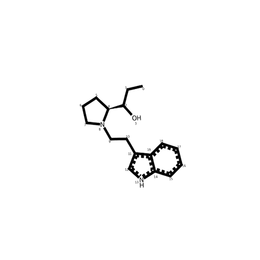 CCC(O)[C@@H]1CCCN1CCc1c[nH]c2ccccc12